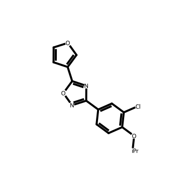 CC(C)Oc1ccc(-c2noc(-c3ccoc3)n2)cc1Cl